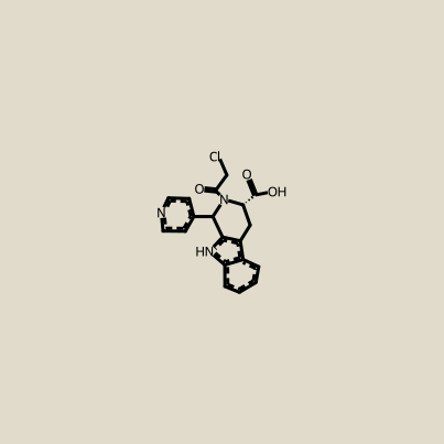 O=C(O)[C@@H]1Cc2c([nH]c3ccccc23)C(c2ccncc2)N1C(=O)CCl